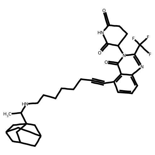 CC(NCCCCCCC#Cc1cccc2nc(C(F)(F)F)n(C3CCC(=O)NC3=O)c(=O)c12)C12CC3CC(CC(C3)C1)C2